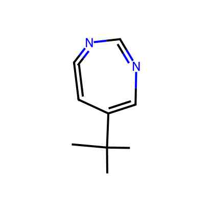 CC(C)(C)C1=CN=CN=C=C1